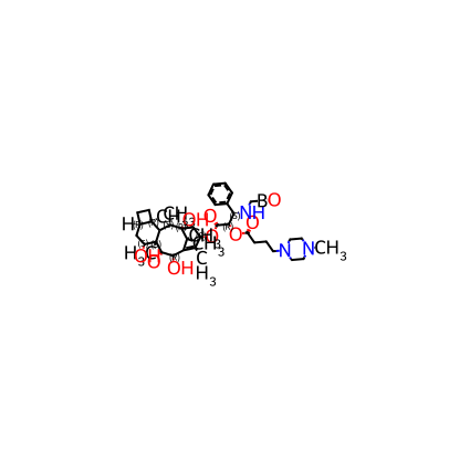 CC1=C2[C@@H](O)C(=O)[C@@]3(C)C([C@H](C)[C@](O)(C[C@@H]1OC(=O)[C@H](OC(=O)CCCN1CCN(C)CC1)[C@@H](NCB=O)c1ccccc1)C2(C)C)[C@]1(C)CC[C@@H]1C[C@@H]3O